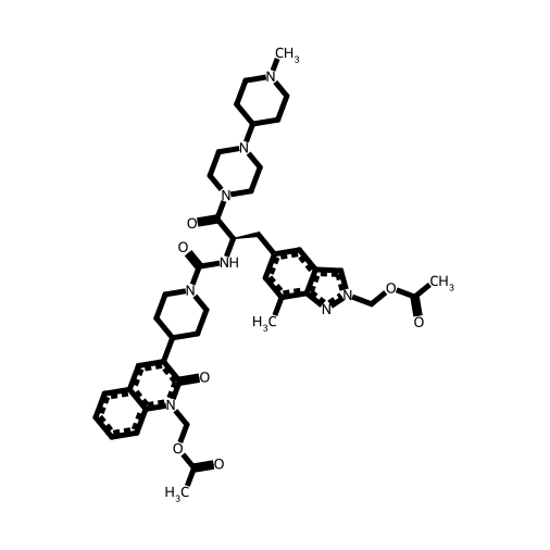 CC(=O)OCn1cc2cc(C[C@@H](NC(=O)N3CCC(c4cc5ccccc5n(COC(C)=O)c4=O)CC3)C(=O)N3CCN(C4CCN(C)CC4)CC3)cc(C)c2n1